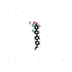 C/C=C/c1ccc(-c2ccc(-c3ccc(-c4cc(F)c(OC(F)(F)F)c(F)c4)c(F)c3)cc2)cc1